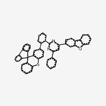 c1ccc(-c2cc(-c3ccc4c(c3)oc3ccccc34)nc(-c3ccccc3-c3ccc4c(c3)C3(c5ccccc5S4)c4ccccc4-c4ccccc43)n2)cc1